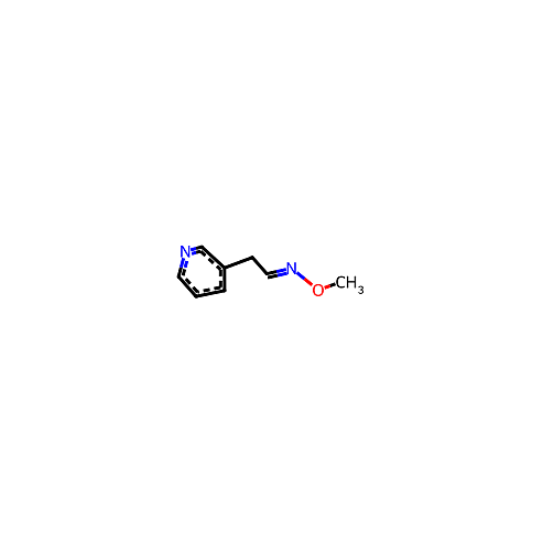 CON=CCc1cccnc1